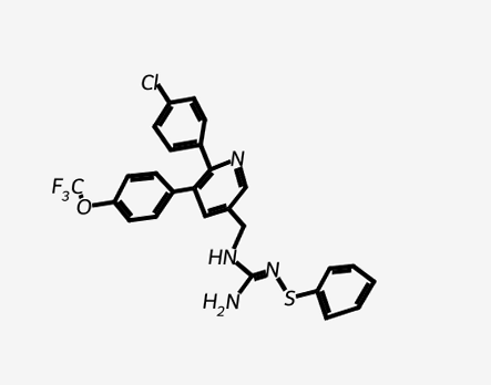 N/C(=N\Sc1ccccc1)NCc1cnc(-c2ccc(Cl)cc2)c(-c2ccc(OC(F)(F)F)cc2)c1